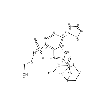 CC(C)(C)OC(=O)N1C2CC1CN(c1nc3c(S(=O)(=O)NCCO)ccc(-c4nccs4)c3o1)C2